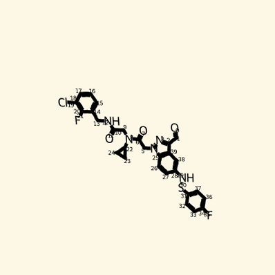 O=Cc1nn(CC(=O)N(CC(=O)NCc2cccc(Cl)c2F)C2CC2)c2ccc(NSc3ccc(F)cc3)cc12